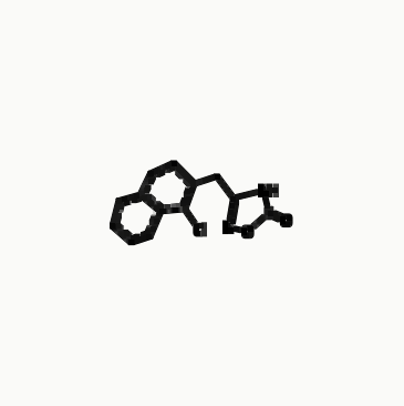 O=S1NC(Cc2ccc3ccccc3c2Cl)=NO1